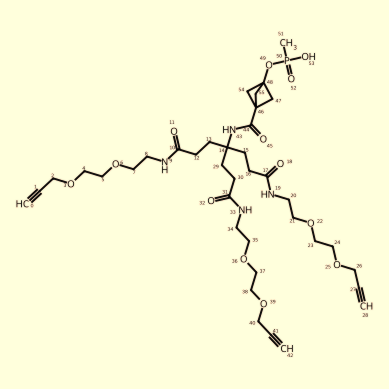 C#CCOCCOCCNC(=O)CCC(CCC(=O)NCCOCCOCC#C)(CCC(=O)NCCOCCOCC#C)NC(=O)C12CC(OP(C)(=O)O)(C1)C2